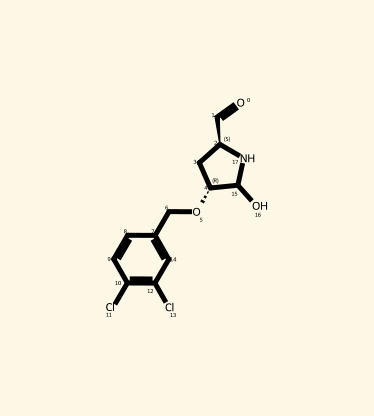 O=C[C@@H]1C[C@@H](OCc2ccc(Cl)c(Cl)c2)C(O)N1